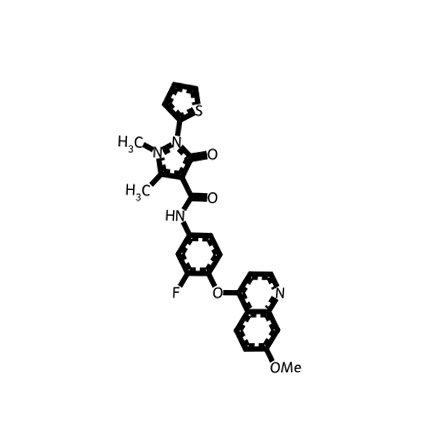 COc1ccc2c(Oc3ccc(NC(=O)c4c(C)n(C)n(-c5cccs5)c4=O)cc3F)ccnc2c1